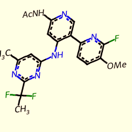 COc1ccc(-c2cnc(NC(C)=O)cc2Nc2cc(C)nc(C(C)(F)F)n2)nc1F